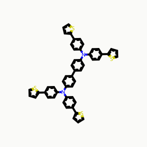 c1csc(-c2ccc(N(c3ccc(-c4ccc(N(c5ccc(-c6cccs6)cc5)c5ccc(-c6cccs6)cc5)cc4)cc3)c3ccc(-c4cccs4)cc3)cc2)c1